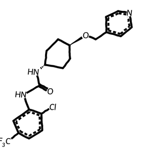 O=C(Nc1cc(C(F)(F)F)ccc1Cl)N[C@H]1CC[C@H](OCc2ccncc2)CC1